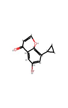 O=c1ccoc2c(C3CC3)cc(Br)cc12